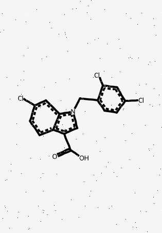 O=C(O)c1cn(Cc2ccc(Cl)cc2Cl)c2cc(Cl)ccc12